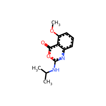 COc1cccc2nc(NC(C)C)oc(=O)c12